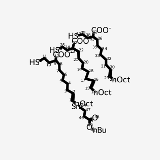 CCCCCCCCC=CCCCCCCC(CCS)C(=O)[O-].CCCCCCCCC=CCCCCCCC(CCS)C(=O)[O-].CCCCCCCCC=CCCCCCCC(CCS)C(=O)[O-].CCCCOC(=O)C[CH2][Sn+3]